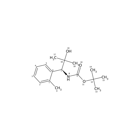 Cc1ccccc1[C@H](NC(=O)OC(C)(C)C)C(C)(C)O